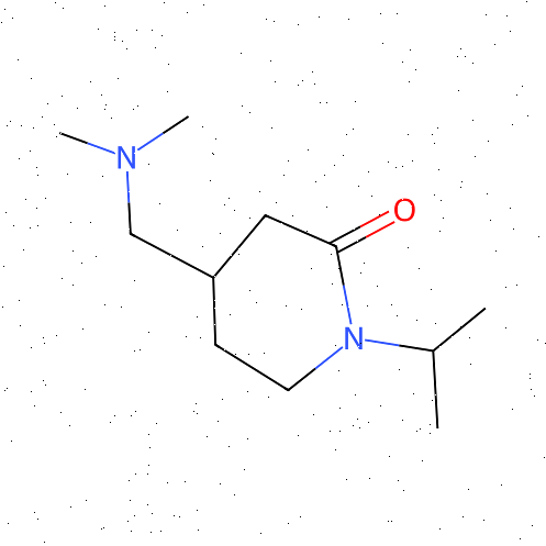 CC(C)N1CCC(CN(C)C)CC1=O